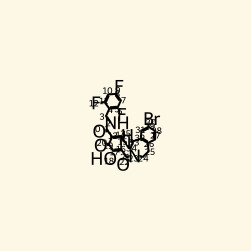 O=C(NCc1c(F)cc(F)cc1F)c1cn2c(c(O)c1=O)C(=O)N1CCc3ccc(Br)cc3[C@@H]2C1